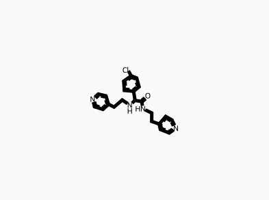 O=C(NCCc1ccncc1)C(NCCc1ccncc1)c1ccc(Cl)cc1